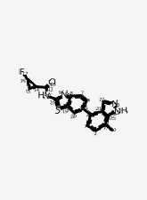 Cc1ccc(-c2ccc3nc(NC(=O)C4CC4F)sc3c2)c2cn[nH]c12